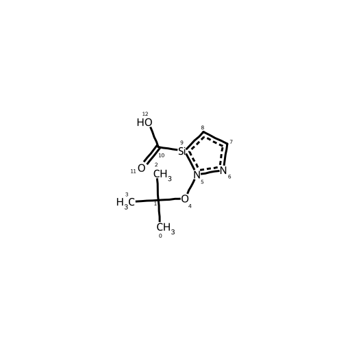 CC(C)(C)On1ncc[si]1C(=O)O